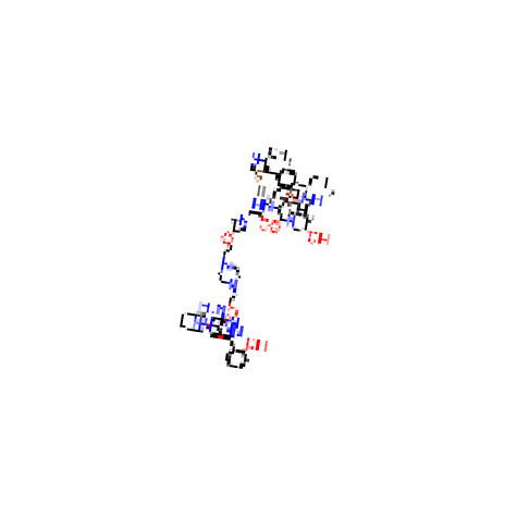 Cc1ncsc1-c1ccc([C@H](C)NC(=O)[C@@H]2C[C@@H](O)CN2C(=O)[C@@H](NC(=O)CN2CC(OCCN3CCN(CCOc4cc(N5C6CCC5CN(c5cc(-c7ccccc7O)nnc5N)C6)ccn4)CC3)C2)C(C)(C)C)cc1